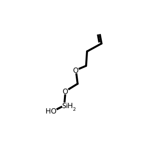 C=CCCOCO[SiH2]O